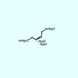 CCCCCCCC/C=C\CCCCCCCC.[NaH].[NaH]